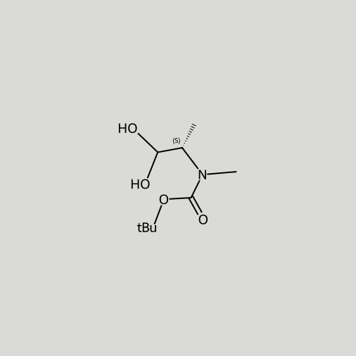 C[C@@H](C(O)O)N(C)C(=O)OC(C)(C)C